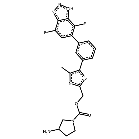 Cc1nc(COC(=O)N2CCC(N)C2)sc1-c1cccc(-c2cc(F)c3nn[nH]c3c2F)n1